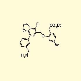 CCOC(=O)Cc1ccc(C(C)=O)cc1OCc1cc(-c2cccc(CN)c2)c2occc2c1F